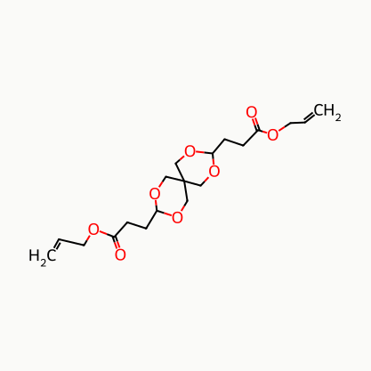 C=CCOC(=O)CCC1OCC2(CO1)COC(CCC(=O)OCC=C)OC2